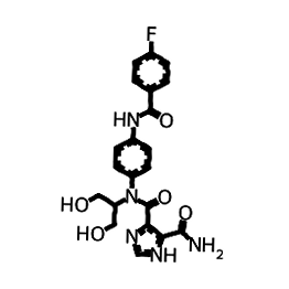 NC(=O)c1[nH]cnc1C(=O)N(c1ccc(NC(=O)c2ccc(F)cc2)cc1)C(CO)CO